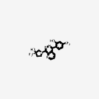 Oc1cc(C(F)(F)F)ccc1-c1nnc(N2CC[C@@](O)(C(F)(F)F)C2)c2ncccc12